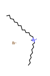 CCCCCCCCCCCCCC[N+](C)(C)CCCCCCCCCC.[Br-]